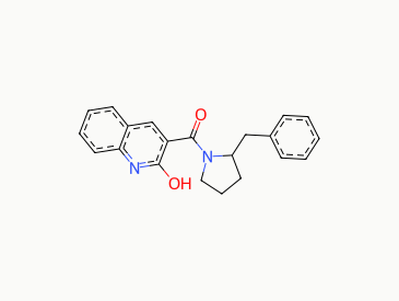 O=C(c1cc2ccccc2nc1O)N1CCCC1Cc1ccccc1